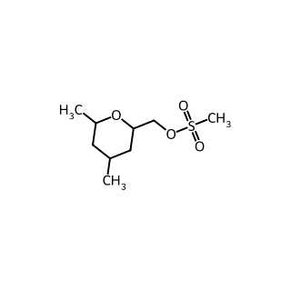 CC1CC(C)OC(COS(C)(=O)=O)C1